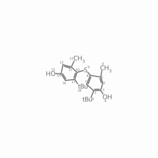 Cc1cc(O)c(C(C)(C)C)cc1Sc1c(C)cc(O)cc1C(C)(C)C